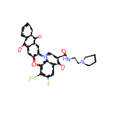 O=C(NCCN1CCCC1)c1cn2c3cc4c(=O)c5ccccc5c(=O)c4cc3oc3c(F)c(F)cc(c1=O)c32